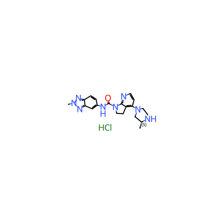 C[C@H]1CN(c2ccnc3c2CCN3C(=O)Nc2ccc3nn(C)nc3c2)CCN1.Cl